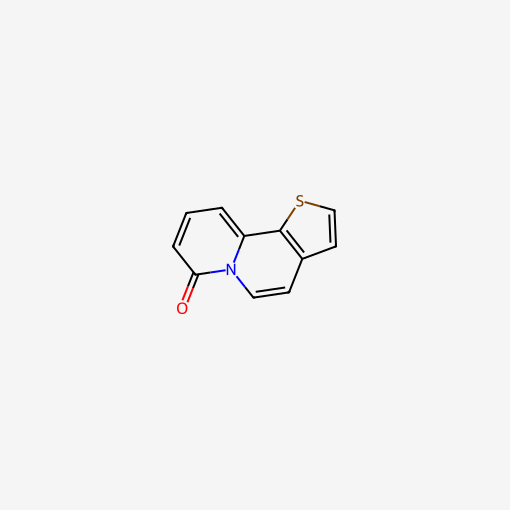 O=c1cccc2c3sccc3ccn12